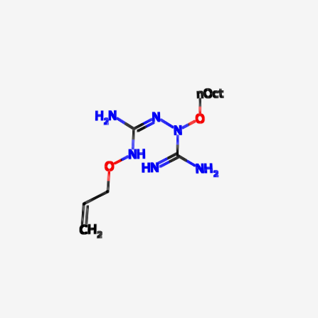 C=CCONC(N)=NN(OCCCCCCCC)C(=N)N